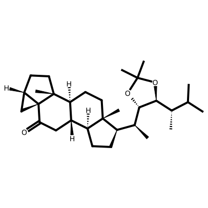 CC(C)[C@H](C)[C@@H]1OC(C)(C)O[C@H]1[C@@H](C)[C@H]1CC[C@H]2[C@@H]3CC(=O)[C@]45C[C@@H]4CC[C@]5(C)[C@H]3CC[C@]12C